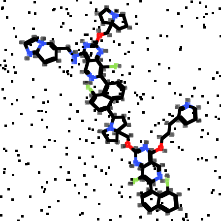 Fc1c(-c2cccc3c(C4CCC5(COc6nc(OCCCc7cccnc7)c7cnc(-c8cccc9cccc(F)c89)c(F)c7n6)CCCN45)ccc(F)c23)ncc2c(NCc3ccc4nccn4c3)nc(OCC34CCCN3CCC4)nc12